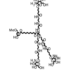 COC[C@@H]1C[C@@H](O)CN1C(=O)CCCCCCCCC(=O)NC(COCCC(=O)NCCCNC(=O)CCCCOC1OC(CO)C(O)C(O)C1N)(COCCC(=O)NCCCNC(=O)CCCCOC1OC(CO)C(O)C(O)C1N)COCCC(=O)NCCCNC(=O)CCCCOC1OC(CO)C(O)C(O)C1N